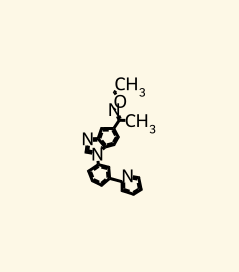 CCON=C(C)c1ccc2c(c1)ncn2-c1cccc(-c2ccccn2)c1